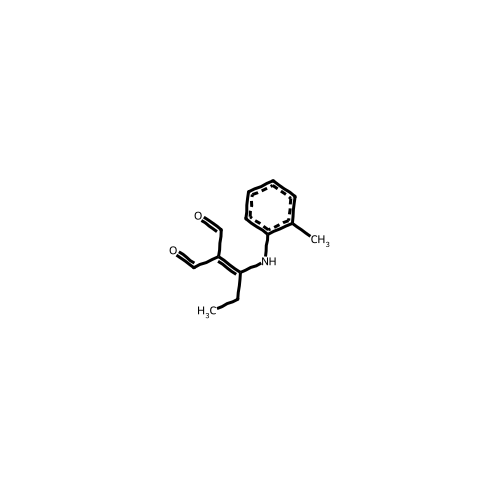 CCC(Nc1ccccc1C)=C(C=O)C=O